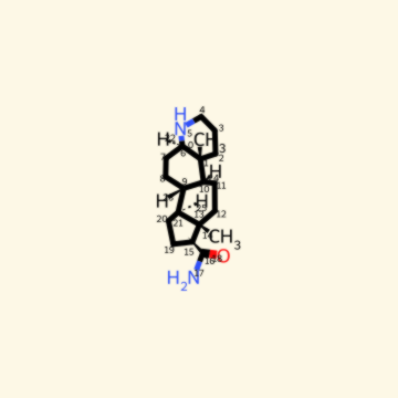 C[C@]12CCCN[C@@H]1CC[C@@H]1[C@@H]2CC[C@]2(C)[C@@H](C(N)=O)CC[C@@H]12